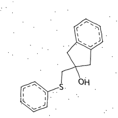 OC1(CSc2ccccc2)Cc2ccccc2C1